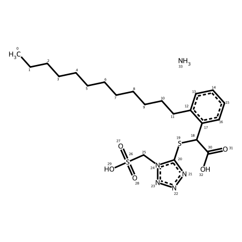 CCCCCCCCCCCCc1ccccc1C(Sc1nnnn1CS(=O)(=O)O)C(=O)O.N